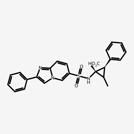 CC1[C@H](c2ccccc2)[C@]1(NS(=O)(=O)c1ccc2nc(-c3ccccc3)cn2c1)C(=O)O